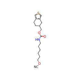 N#COCCCCCCNC(=O)OCC1CCc2cscc2C1